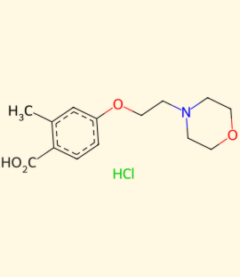 Cc1cc(OCCN2CCOCC2)ccc1C(=O)O.Cl